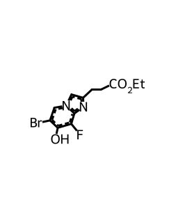 CCOC(=O)CCc1cn2cc(Br)c(O)c(F)c2n1